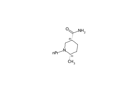 CCCN1C[C@H](C(N)=O)CC[C@@H]1C